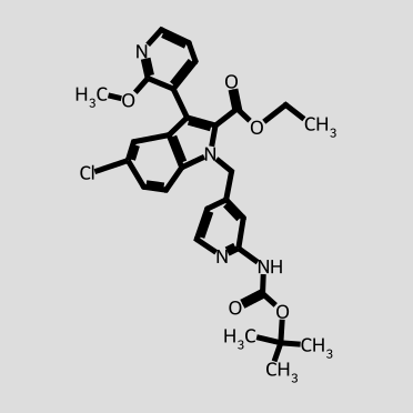 CCOC(=O)c1c(-c2cccnc2OC)c2cc(Cl)ccc2n1Cc1ccnc(NC(=O)OC(C)(C)C)c1